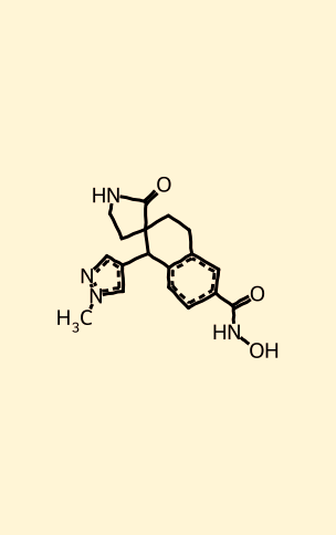 Cn1cc(C2c3ccc(C(=O)NO)cc3CCC23CCNC3=O)cn1